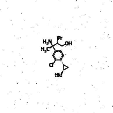 CC(C)C(CO)[C@@](C)(N)c1ccc([C@@H]2C[C@H]2C(C)(C)C)c(Cl)c1